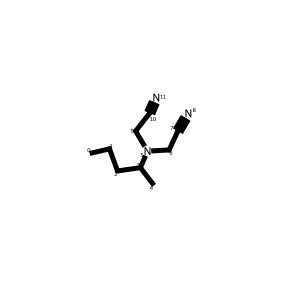 CCCC(C)N(CC#N)CC#N